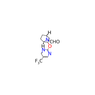 O=CN1[C@@H]2CC[C@H]1[C@H](Oc1ncc(C(F)(F)F)cn1)C2